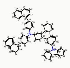 c1ccc(-c2cc(N(c3ccc(-c4cccc5ccccc45)cc3)c3ccc(-c4cccc5ccccc45)cc3)ccc2-c2cccc(-n3c4ccccc4c4ccccc43)c2)cc1